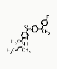 C=C(NC(C)CCC)c1ccc(C(=O)N2CCC(C(=C)c3ccc(F)cc3)CC2)cn1